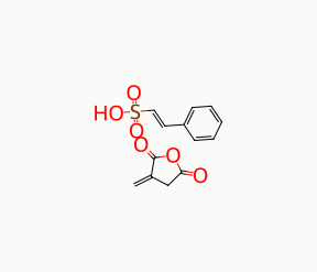 C=C1CC(=O)OC1=O.O=S(=O)(O)C=Cc1ccccc1